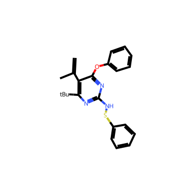 C=C(C)c1c(Oc2ccccc2)nc(NSc2ccccc2)nc1C(C)(C)C